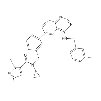 Cc1cccc(CNc2ncnc3ccc(-c4cccc(CN(C(=O)c5cc(C)nn5C)C5CC5)c4)cc23)c1